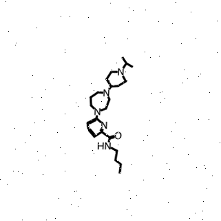 CCCCNC(=O)c1cccc(N2CCCN(C3CCN(C(C)C)CC3)CC2)n1